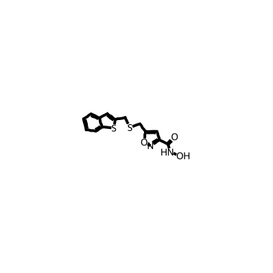 O=C(NO)c1cc(CSCc2cc3ccccc3s2)on1